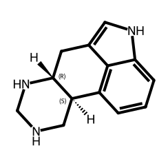 c1cc2c3c(c[nH]c3c1)C[C@H]1NCNC[C@H]21